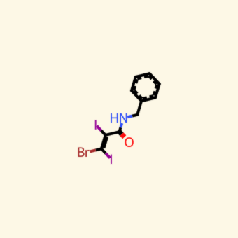 O=C(NCc1ccccc1)C(I)=C(Br)I